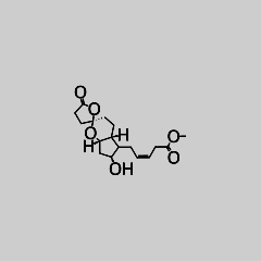 COC(=O)C/C=C\CC1[C@H]2CC[C@@]3(CCC(=O)O3)O[C@H]2C[C@@H]1O